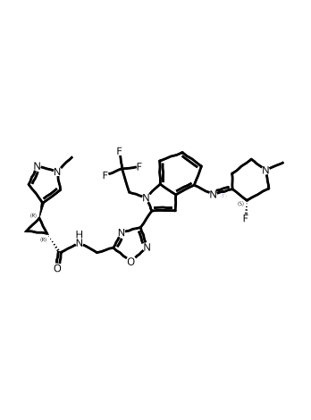 CN1CC/C(=N\c2cccc3c2cc(-c2noc(CNC(=O)[C@@H]4C[C@H]4c4cnn(C)c4)n2)n3CC(F)(F)F)[C@@H](F)C1